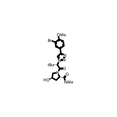 CNC(=O)[C@@H]1C[C@@H](O)CN1C(=O)[C@@H](n1cc(-c2ccc(OC)c(Br)c2)nn1)C(C)(C)C